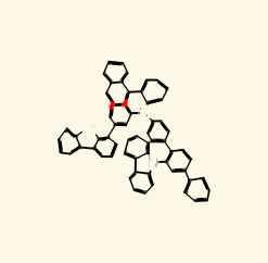 c1ccc(-c2ccc(-c3ccc(N(c4cccc(-c5cccc6c5oc5ccccc56)c4)c4ccccc4-c4cccc5ccccc45)cc3)c(-n3c4ccccc4c4ccccc43)c2)cc1